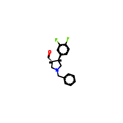 O=C[C@H]1CN(Cc2ccccc2)C[C@@H]1c1ccc(F)c(F)c1